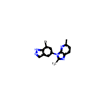 CCc1cc(-n2c(C(F)(F)F)nc3ccc(C)nc32)cc2cn[nH]c12